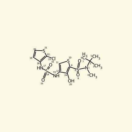 CN(C(C)(C)C)S(=O)(=O)c1scc(NS(=O)(=O)Nc2ccsc2Cl)c1O